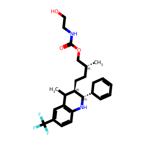 CC1c2cc(C(F)(F)F)ccc2N[C@@H](C2C=CC=CC2)[C@@H]1CC[C@@H](C)COC(=O)NCCO